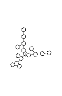 c1ccc(-c2ccc(-c3ccc(-c4ccc5c(c4)c4cc(-c6ccc(-c7ccc(-c8ccccc8)cc7)cc6-c6ccccc6)ccc4n5-c4ccc(-c5cc6ccccc6c6ccccc56)c5ccccc45)c(-c4ccccc4)c3)cc2)cc1